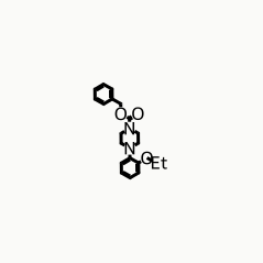 CCOc1ccccc1N1CCN(C(=O)OCc2ccccc2)CC1